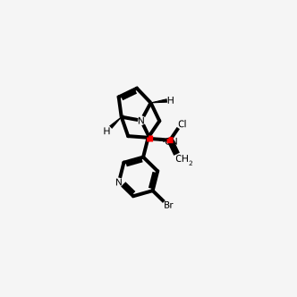 C=C(Cl)CN1[C@@H]2C=C[C@H]1C[C@](C#N)(c1cncc(Br)c1)C2